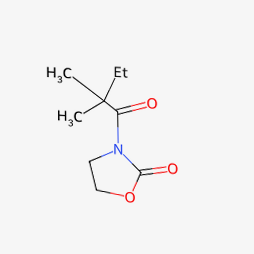 CCC(C)(C)C(=O)N1CCOC1=O